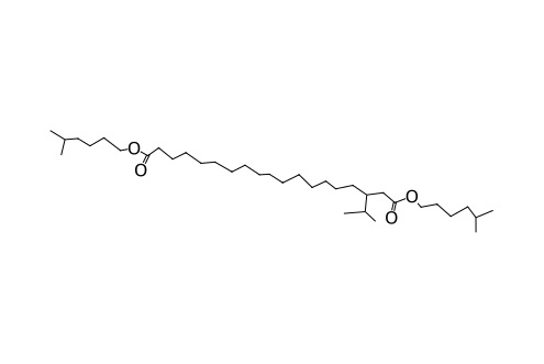 CC(C)CCCCOC(=O)CCCCCCCCCCCCCCCC(CC(=O)OCCCCC(C)C)C(C)C